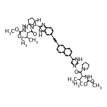 COC(=O)N[C@H](C(=O)N1CCC[C@H]1c1ncc(-c2ccc3cc(C#Cc4ccc5nc([C@@H]6[C@H]7CC[C@H](C7)N6C(=O)[C@@H](NC(=O)OC)C(C)C)[nH]c5c4)ccc3c2)[nH]1)C(C)C